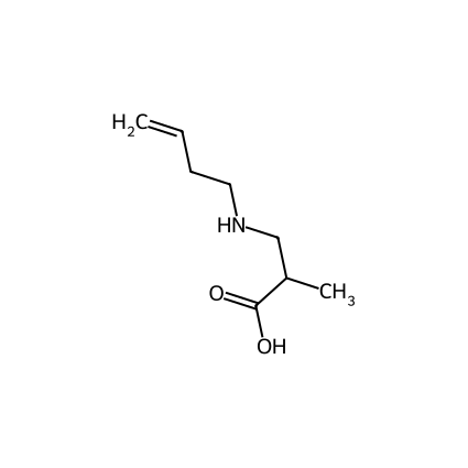 C=CCCNCC(C)C(=O)O